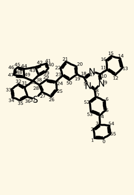 c1ccc(-c2ccc(-c3nc(-c4ccccc4)nc(-c4cccc(-c5ccc6c(c5)C5(c7ccccc7S6)c6ccccc6-c6ccccc65)c4)n3)cc2)cc1